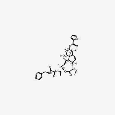 CO[C@H]1C[C@H]2C=CC3C4[C@H](O)[C@@H](C)[C@@H](OC(=O)c5ccc[nH]5)[C@@H]3O[C@]42/C(C)=C/[C@@H](C)[C@@H](C(C)OC(=O)C(=O)NCc2ccccc2)OC1=O